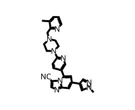 Cc1cccnc1CN1CCN(c2ccc(-c3cc(-c4cnn(C)c4)cc4ncc(C#N)n34)cn2)CC1